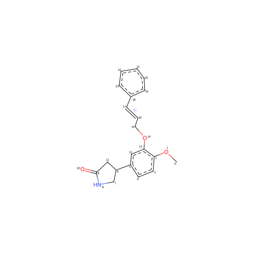 COc1ccc(C2CNC(=O)C2)cc1OC/C=C/c1ccccc1